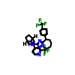 FC(F)(F)c1ccc(C2CCCCn3nc(NC4[C@@H]5CC[C@H]4CN(c4ccnc(C(F)(F)F)c4)C5)nc32)cc1